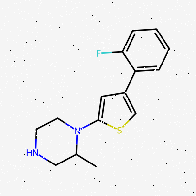 CC1CNCCN1c1cc(-c2ccccc2F)cs1